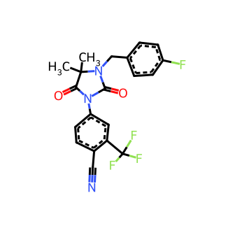 CC1(C)C(=O)N(c2ccc(C#N)c(C(F)(F)F)c2)C(=O)N1Cc1ccc(F)cc1